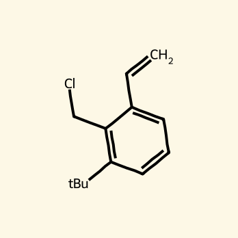 C=Cc1cccc(C(C)(C)C)c1CCl